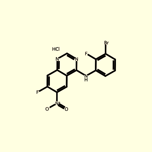 Cl.O=[N+]([O-])c1cc2c(Nc3cccc(Br)c3F)ncnc2cc1F